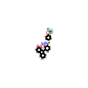 OC1C(NSc2ccc(OC(F)(F)F)cc2)CCCC1C1c2ccccc2-c2ccccc21